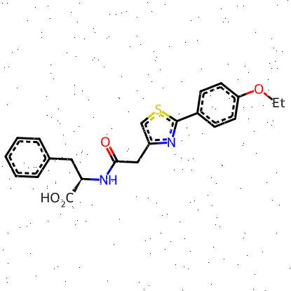 CCOc1ccc(-c2nc(CC(=O)N[C@H](Cc3ccccc3)C(=O)O)cs2)cc1